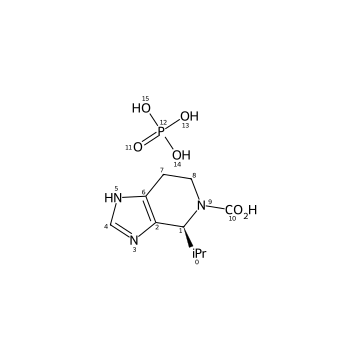 CC(C)[C@H]1c2nc[nH]c2CCN1C(=O)O.O=P(O)(O)O